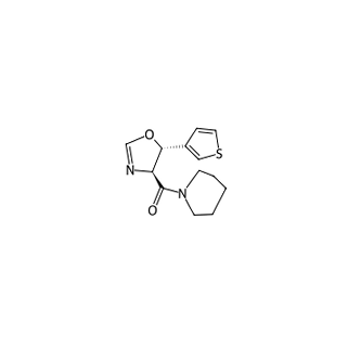 O=C([C@H]1N=CO[C@@H]1c1ccsc1)N1CCCCC1